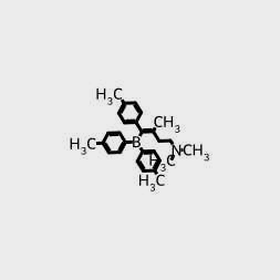 C/C(CCN(C)C)=C(/B(c1ccc(C)cc1)c1ccc(C)cc1)c1ccc(C)cc1